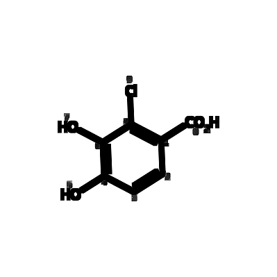 O=C(O)c1ccc(O)c(O)c1Cl